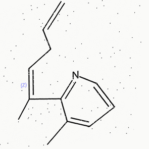 C=CC/C=C(/C)c1ncccc1C